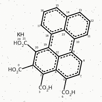 O=C(O)c1c(C(=O)O)c2c(C(=O)O)ccc3c4cccc5cccc(c(c1C(=O)O)c23)c54.[KH]